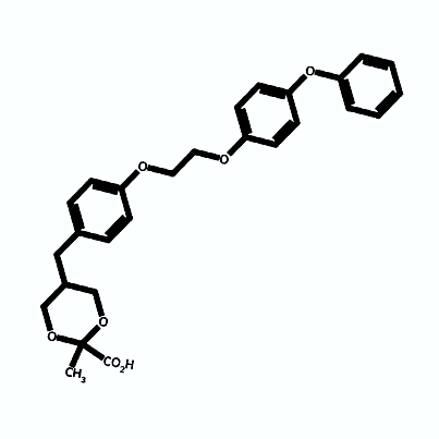 CC1(C(=O)O)OCC(Cc2ccc(OCCOc3ccc(Oc4ccccc4)cc3)cc2)CO1